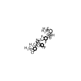 COc1cc(C(C)(C)c2cnc(SCc3c(F)cc(S(=O)(=O)N[C@@H]4CCC[N+](C)(C)C4)cc3F)n2-c2ccc(F)cc2)ccc1Cl